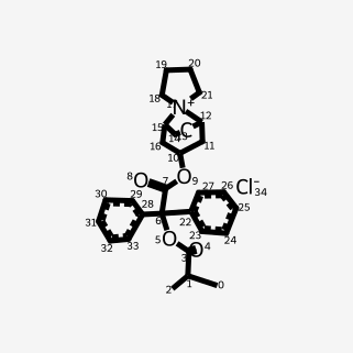 CC(C)C(=O)OC(C(=O)OC1CC2CCC(C1)[N+]21CCCC1)(c1ccccc1)c1ccccc1.[Cl-]